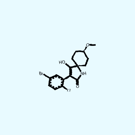 CO[C@H]1CC[C@@]2(CC1)NC(=O)C(c1cc(Br)ccc1Cl)=C2O